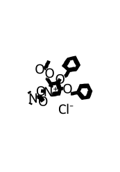 CC(=O)OCc1c(OCc2ccccc2)c(OCc2ccccc2)cc[n+]1OC(=O)N(C)C.[Cl-]